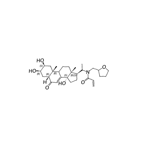 C=CC(=O)N(CC1CCCO1)C(C)[C@H]1CC[C@@]2(O)C3=CC(=O)[C@@H]4C[C@@H](O)[C@@H](O)C[C@]4(C)C3CC[C@]12C